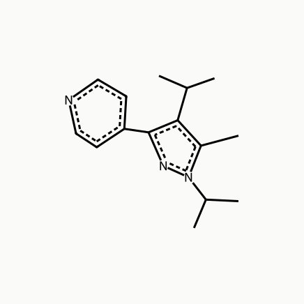 Cc1c(C(C)C)c(-c2ccncc2)nn1C(C)C